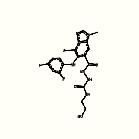 Cn1cnc2c(F)c(Nc3ccc(I)cc3F)c(C(=O)NNC(=O)NCCO)cc21